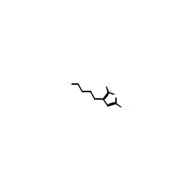 BCCCCc1cc(C(C)(C)C)sc1C(C)(C)C